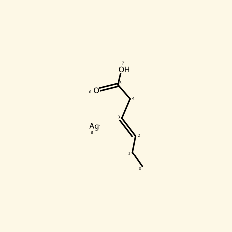 CCC=CCC(=O)O.[Ag]